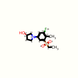 CCS(=O)(=O)c1cc(N2CC[C@@H](O)C2)cc(F)c1C